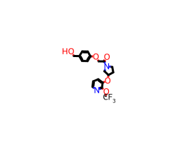 O=C(COc1ccc(CO)cc1)N1CCC(Oc2cccnc2OC(F)(F)F)C1